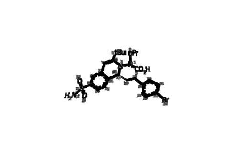 CCCN(C(=O)O)N1C(C(C)(C)C)=Cc2cc(S(N)(=O)=O)ccc2[C@H]1CCc1ccc(Br)cc1